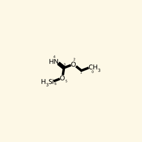 CCOC(=N)O[SiH3]